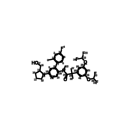 Cc1cc(F)ccc1-c1cc(N2CCCC2CO)ncc1N(C)C(=O)C(C)(C)c1cc(OC(F)F)cc(OC(F)F)c1